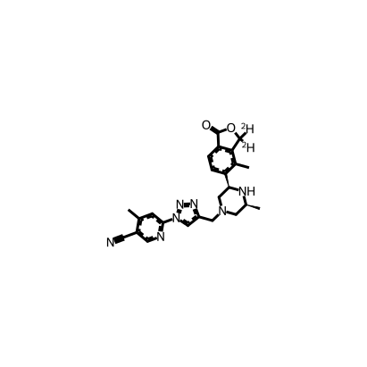 [2H]C1([2H])OC(=O)c2ccc([C@@H]3CN(Cc4cn(-c5cc(C)c(C#N)cn5)nn4)C[C@H](C)N3)c(C)c21